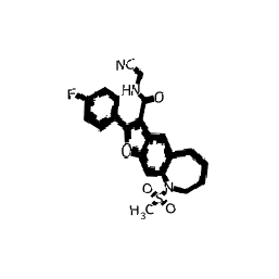 CS(=O)(=O)N1CCCCc2cc3c(C(=O)NCC#N)c(-c4ccc(F)cc4)oc3cc21